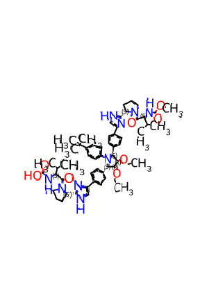 CCO[C@H]1[C@H](OCC)[C@H](c2ccc(-c3c[nH]c([C@@H]4CCCN4C(=O)[C@@H](NC(=O)OC)C(C)C)n3)cc2)N(c2ccc(C(C)(C)C)cc2)[C@H]1c1ccc(-c2c[nH]c([C@@H]3CCCN3C(=O)[C@@H](NC(=O)O)C(C)C)n2)cc1